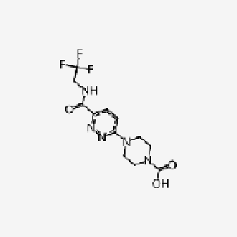 O=C(NCC(F)(F)F)c1ccc(N2CCN(C(=O)O)CC2)nn1